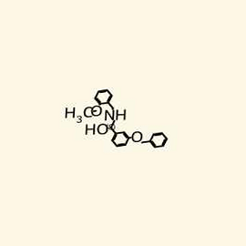 COc1ccccc1CNC[C@@H](O)c1cccc(OCc2ccccc2)c1